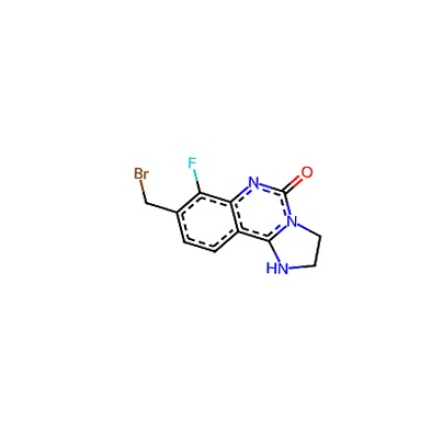 O=c1nc2c(F)c(CBr)ccc2c2n1CCN2